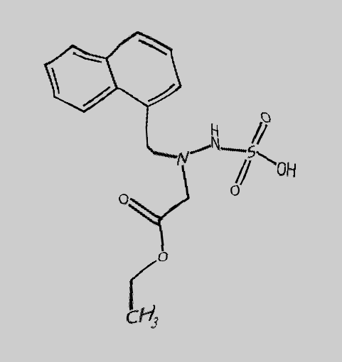 CCOC(=O)CN(Cc1cccc2ccccc12)NS(=O)(=O)O